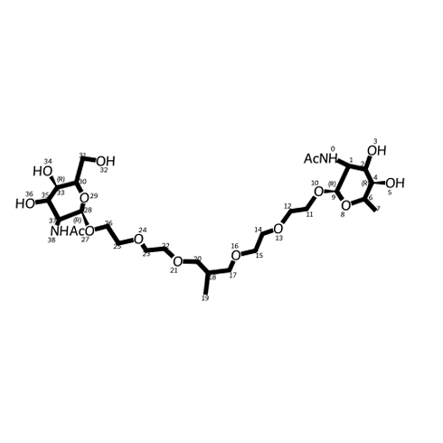 CC(=O)NC1C(O)[C@@H](O)C(C)O[C@H]1OCCOCCOCC(C)COCCOCCO[C@@H]1OC(CO)[C@H](O)C(O)C1NC(C)=O